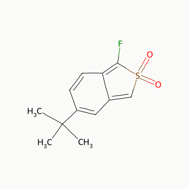 CC(C)(C)c1ccc2c(c1)=CS(=O)(=O)C=2F